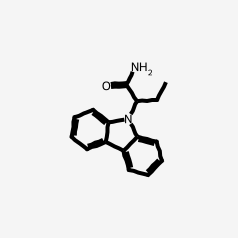 CCC(C(N)=O)n1c2ccccc2c2ccccc21